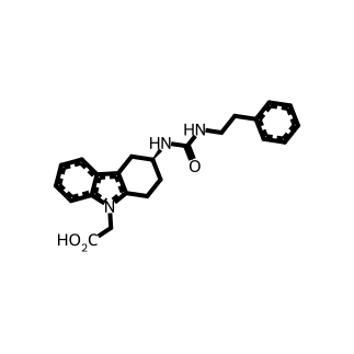 O=C(O)Cn1c2c(c3ccccc31)C[C@@H](NC(=O)NCCc1ccccc1)CC2